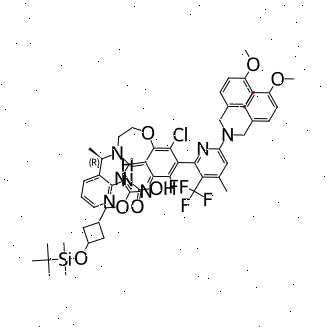 COc1ccc(CN(Cc2ccc(OC)cc2)c2cc(C)c(C(F)(F)F)c(-c3c(Cl)c4c5c(nc(OCC6CC(O[Si](C)(C)C(C)(C)C)C6)nc5c3F)N([C@H](C)c3cccnc3NC(=O)O)CCO4)n2)cc1